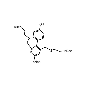 CCCCCCCCCCCCSCc1cc(CCCCCCCCC)cc(CSCCCCCCCCCCCC)c1-c1ccc(O)cc1